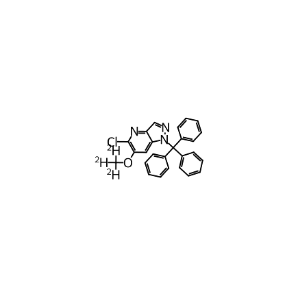 [2H]C([2H])([2H])Oc1cc2c(cnn2C(c2ccccc2)(c2ccccc2)c2ccccc2)nc1Cl